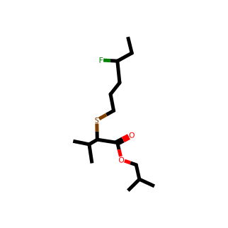 CCC(F)CCCSC(C(=O)OCC(C)C)C(C)C